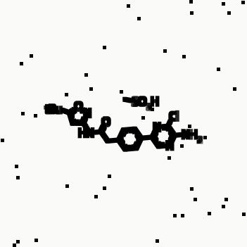 CC(C)(C)c1cc(NC(=O)Cc2ccc(-c3cnc(N)c(Cl)n3)cc2)no1.CS(=O)(=O)O